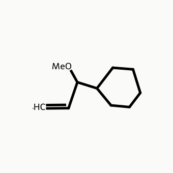 [CH]=CC(OC)C1CCCCC1